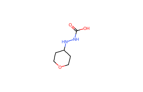 O=C(O)NNC1CCOCC1